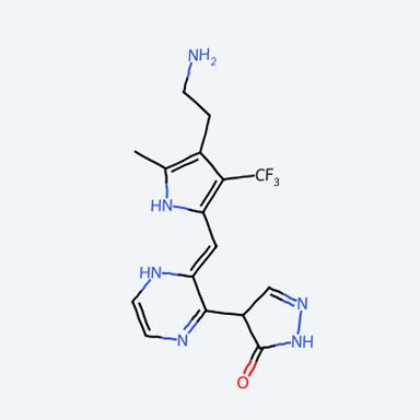 Cc1[nH]c(C=C2NC=CN=C2C2C=NNC2=O)c(C(F)(F)F)c1CCN